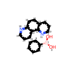 OB(O)c1ccccc1.c1cnc2c(c1)ccc1ncccc12